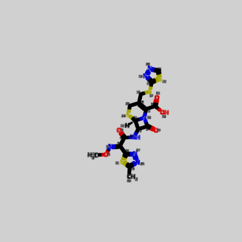 CO/N=C(/C(=O)NC1C(=O)N2C(C(=O)O)=C(CSc3nncs3)CS[C@H]12)c1nnc(C)s1